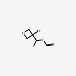 C=COC(C)C1(CC)COC1